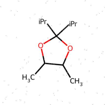 CC1OC(C(C)C)(C(C)C)OC1C